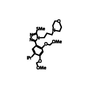 COCOc1cc(OCOC)c(C(C)C)cc1-c1nnc(SC)n1CCCN1CCOCC1